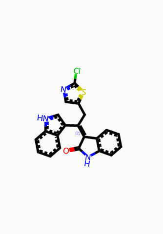 O=C1Nc2ccccc2/C1=C(\Cc1cnc(Cl)s1)c1c[nH]c2ccccc12